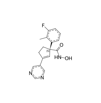 Cc1c(F)cccc1[C@@]1(C(=O)NO)C=C(c2cncnc2)CC1